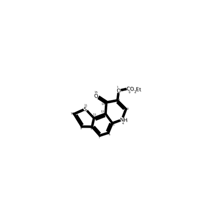 CCOC(=O)Oc1c[nH]c2ccc3ccsc3c2c1=O